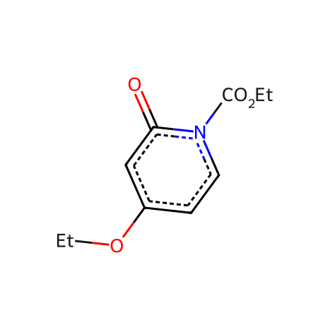 CCOC(=O)n1ccc(OCC)cc1=O